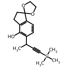 CC(C#C[Si](C)(C)C)c1ccc2c(c1O)CCC21OCCO1